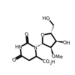 CO[C@@H]1[C@H](O)[C@@H](CO)O[C@H]1N1C(=O)NC(=O)CC1C(=O)O